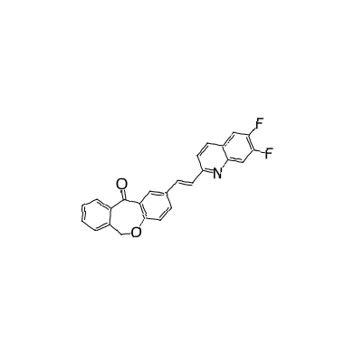 O=C1c2ccccc2COc2ccc(C=Cc3ccc4cc(F)c(F)cc4n3)cc21